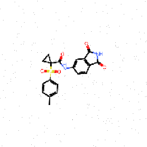 Cc1ccc(S(=O)(=O)C2(C(=O)Nc3ccc4c(c3)C(=O)NC4=O)CC2)cc1